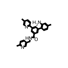 Cc1ccc(-c2cc(C(=O)NCc3ccc(C)nc3)cc(-c3ccc(C)cc3N)c2)nc1